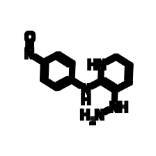 NNC1=C(Nc2ccc(N=O)cc2)NCC=C1